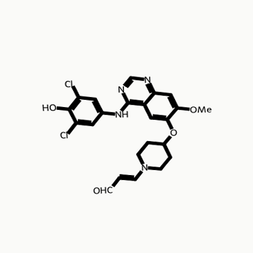 COc1cc2ncnc(Nc3cc(Cl)c(O)c(Cl)c3)c2cc1OC1CCN(C=CC=O)CC1